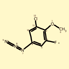 COc1c(F)cc(N=[N+]=[N-])cc1Cl